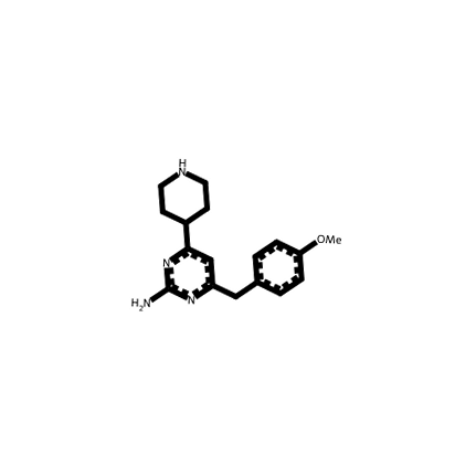 COc1ccc(Cc2cc(C3CCNCC3)nc(N)n2)cc1